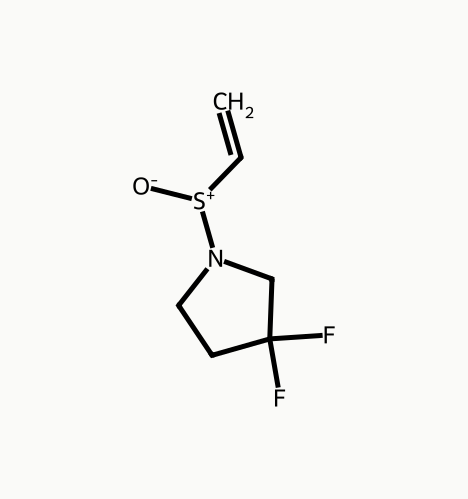 C=C[S+]([O-])N1CCC(F)(F)C1